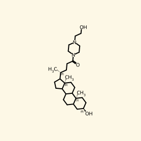 C[C@H](CCC(=O)N1CCN(CCO)CC1)C1CCC2C3CCC4C[C@H](O)CC[C@]4(C)C3CC[C@@]21C